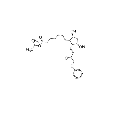 CC(C)OC(=O)CCC/C=C\C[C@@H]1[C@@H](/C=C/C(=O)COc2ccccc2)[C@H](O)C[C@@H]1O